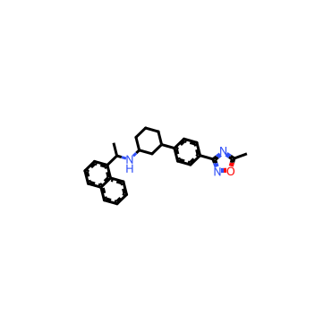 Cc1nc(-c2ccc(C3CCCC(NC(C)c4cccc5ccccc45)C3)cc2)no1